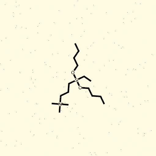 CCCCO[Si](CC)(CCC[N+](C)(C)C)OCCCC